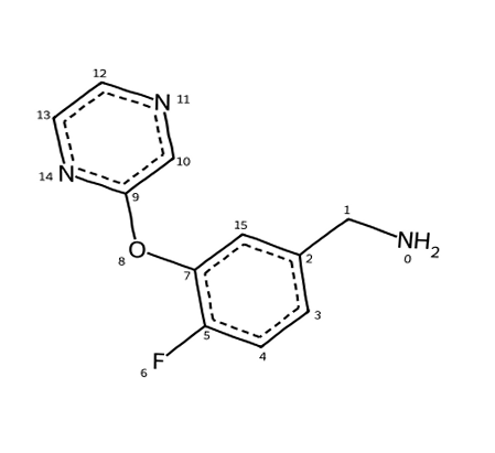 NCc1ccc(F)c(Oc2cnccn2)c1